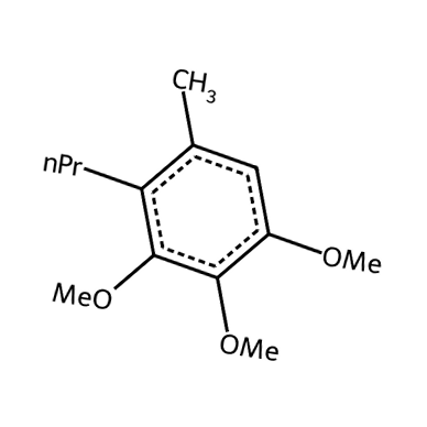 CCCc1c(C)cc(OC)c(OC)c1OC